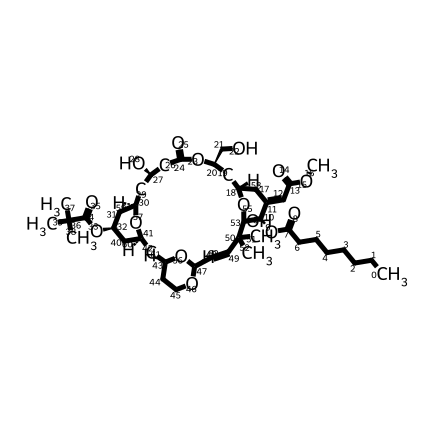 CCCCCCCC(=O)O[C@H]1/C(=C/C(=O)OC)C[C@H]2C[C@H](CO)OC(=O)C[C@H](O)C[C@@H]3C[C@H](OC(=O)C(C)(C)C)C[C@H](C[C@@H]4CCO[C@H](/C=C/C(C)(C)[C@]1(O)O2)O4)O3